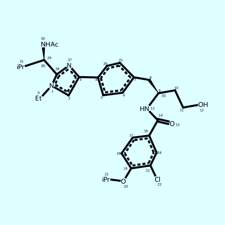 CCn1cc(-c2ccc(C[C@@H](CCO)NC(=O)c3ccc(OC(C)C)c(Cl)c3)cc2)nc1[C@H](NC(C)=O)C(C)C